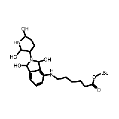 CC(C)(C)OC(=O)CCCCCNc1cccc2c1C(O)N(C1CCC(O)NC1O)C2O